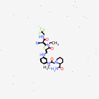 CCn1c(=C(C#N)C(=O)NCC(F)(F)F)sc(=CNc2cccc(N(C)C(=O)CN3CCCCC3C(N)=O)c2)c1=O